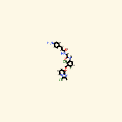 Cc1nc2c(OCc3c(Cl)ccc(N(C)C(=O)CNC(=O)C=Cc4ccc(N)cc4)c3Cl)cccn2c1Cl